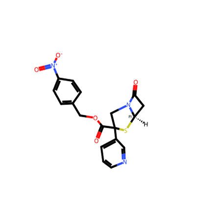 O=C1C[C@H]2SC(C(=O)OCc3ccc([N+](=O)[O-])cc3)(c3cccnc3)CN12